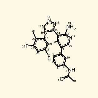 CC(=O)Nc1cccc(-c2cnc(N)c(-c3nnnn3-c3cc(F)cc(F)c3C)c2)c1